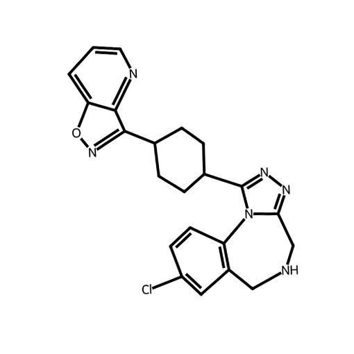 Clc1ccc2c(c1)CNCc1nnc(C3CCC(c4noc5cccnc45)CC3)n1-2